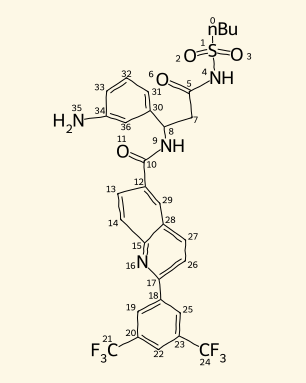 CCCCS(=O)(=O)NC(=O)CC(NC(=O)c1ccc2nc(-c3cc(C(F)(F)F)cc(C(F)(F)F)c3)ccc2c1)c1cccc(N)c1